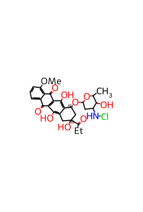 CCC(=O)[C@]1(O)Cc2c(O)c3c(c(O)c2[C@@H](OC2CC(NCl)C(O)C(C)O2)C1)C(=O)c1c(OC)cccc1C3=O